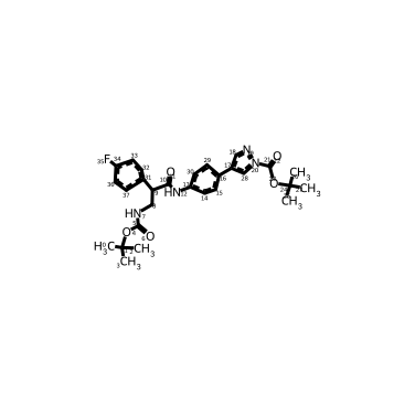 CC(C)(C)OC(=O)NCC(C(=O)Nc1ccc(-c2cnn(C(=O)OC(C)(C)C)c2)cc1)c1ccc(F)cc1